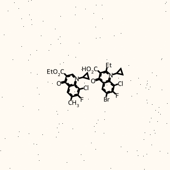 CCOC(=O)c1cn(C2CC2)c2c(Cl)c(F)c(C)cc2c1=O.CCc1c(C(=O)O)c(=O)c2cc(Br)c(F)c(Cl)c2n1C1CC1